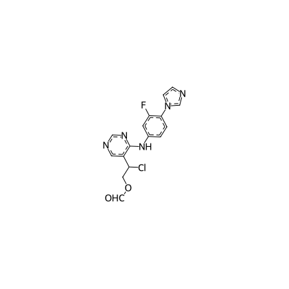 O=COCC(Cl)c1cncnc1Nc1ccc(-n2ccnc2)c(F)c1